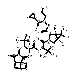 CCCN(NC(=O)[C@@H]1[C@@H]2[C@H](CN1C(=O)[C@@H](NC(=O)N[C@H](CN1C(=O)C3CC4CCC43C1=O)C(C)(C)C)C(C)(C)C)C2(C)C)C(=O)C1CC1